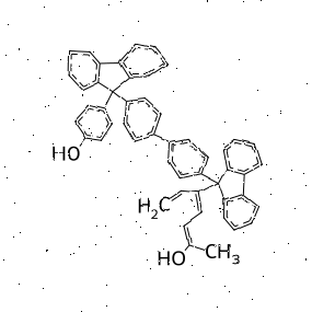 C=C/C(=C\C=C(/C)O)C1(c2ccc(-c3ccc(C4(c5ccc(O)cc5)c5ccccc5-c5ccccc54)cc3)cc2)c2ccccc2-c2ccccc21